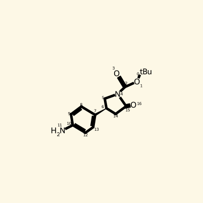 CC(C)(C)OC(=O)N1C[C@H](c2ccc(N)cc2)CC1=O